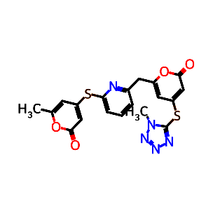 Cc1cc(Sc2cccc(Cc3cc(Sc4nnnn4C)cc(=O)o3)n2)cc(=O)o1